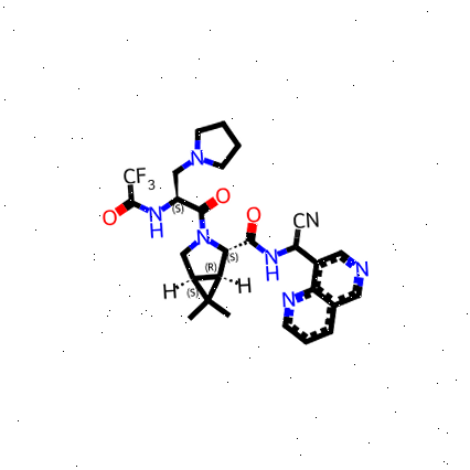 CC1(C)[C@@H]2[C@@H](C(=O)NC(C#N)c3cncc4cccnc34)N(C(=O)[C@H](CN3CCCC3)NC(=O)C(F)(F)F)C[C@@H]21